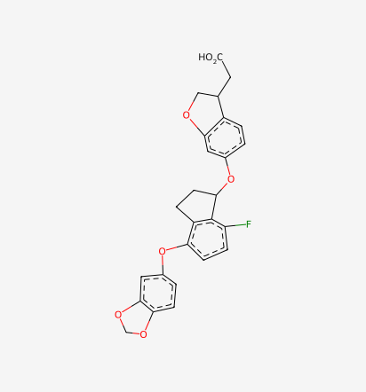 O=C(O)CC1COc2cc(OC3CCc4c(Oc5ccc6c(c5)OCO6)ccc(F)c43)ccc21